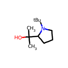 CC(C)(O)C1CCCN1C(C)(C)C